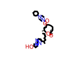 C/C(=C\C=C\C(C)c1ccnc(N2CC[C@@H](O)C2)n1)[C@H]1OC(=O)CCCCC[C@H](OC(=O)N2CCN(C3CCCCCC3)CC2)/C=C/[C@@H]1C